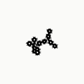 c1ccc(-c2ccc(N(c3ccc(-c4ccccc4)cc3)c3ccc(-c4ccc(-n5c(-c6ccccc6)c(-c6ccccc6)c6cc7ccc8cccc9ccc(c7c89)c65)cc4)cc3)cc2)cc1